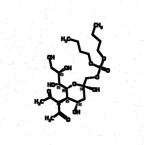 CCCCOP(=O)(OCCCC)OC[C@]1(O)C[C@H](O)[C@@H](N(C(C)=O)C(C)=O)[C@H]([C@H](O)[C@H](O)CO)O1